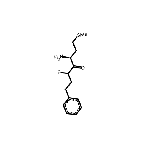 CSCC[C@H](N)C(=O)C(F)C[CH]c1ccccc1